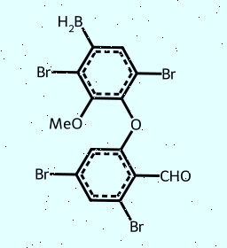 Bc1cc(Br)c(Oc2cc(Br)cc(Br)c2C=O)c(OC)c1Br